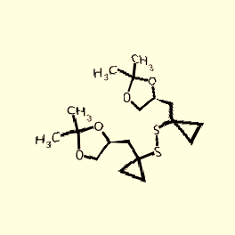 CC1(C)OC[C@H](CC2(SSC3(C[C@H]4COC(C)(C)O4)CC3)CC2)O1